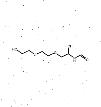 O=CNC(O)COCCOCCO